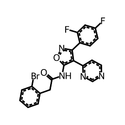 O=C(Cc1ccccc1Br)Nc1onc(-c2ccc(F)cc2F)c1-c1ccncn1